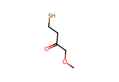 COCC(=O)CCS